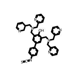 Oc1c(CN(Cc2cccnc2)Cc2ccccn2)cc(-c2ccc(N=C=S)cc2)cc1CN(Cc1ccccn1)CC1C=CC=NC1